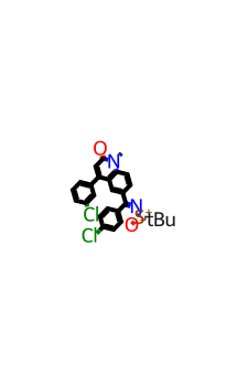 Cn1c(=O)cc(-c2cccc(Cl)c2)c2cc(/C(=N/[S+]([O-])C(C)(C)C)c3ccc(Cl)cc3)ccc21